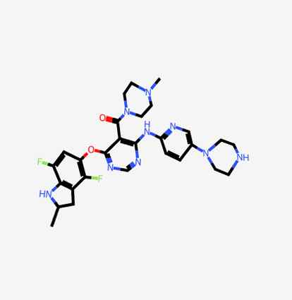 CC1Cc2c(F)c(Oc3ncnc(Nc4ccc(N5CCNCC5)cn4)c3C(=O)N3CCN(C)CC3)cc(F)c2N1